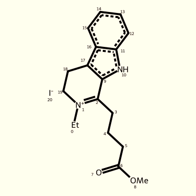 CC[N+]1=C(CCCC(=O)OC)c2[nH]c3ccccc3c2CC1.[I-]